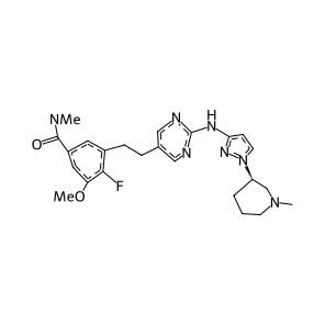 CNC(=O)c1cc(CCc2cnc(Nc3ccn([C@@H]4CCCN(C)C4)n3)nc2)c(F)c(OC)c1